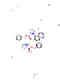 O=C(OCc1ccccc1)N1CCCN1.O=C(OCc1ccccc1)N1CCCN1c1cccc2ncccc12